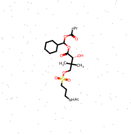 CCCC(=O)OC(OC(=O)[C@H](O)C(C)(C)COS(=O)(=O)CCCNC(C)=O)C1CCCCC1